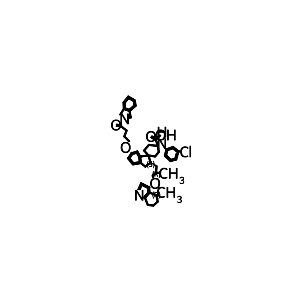 C[C@@H](COc1ccnc2c1[C@H](C)CCC2)C[C@H]1Cc2ccc(OCCCC(=O)N3Cc4ccccc4C3)cc2C12CCC(Nc1cccc(Cl)c1)(C(=O)O)CC2